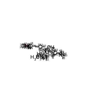 COC(=O)NC(C(=O)N[C@@H](Cc1ccc(C#Cc2ccc(N3CC4CCC(C3)N4C3COC3)nc2)cc1)[C@@H](O)CNCc1c(F)cc(-c2ccn(C(F)F)n2)cc1F)C(C)(C)C(F)(F)F